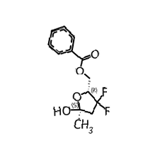 C[C@@]1(O)CC(F)(F)[C@@H](COC(=O)c2ccccc2)O1